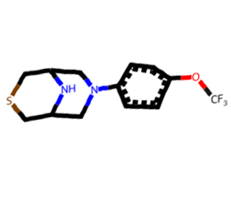 FC(F)(F)Oc1ccc(N2CC3CSCC(C2)N3)cc1